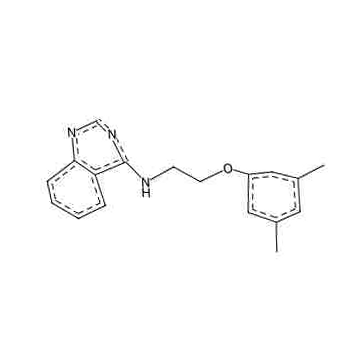 Cc1cc(C)cc(OCCNc2ncnc3ccccc23)c1